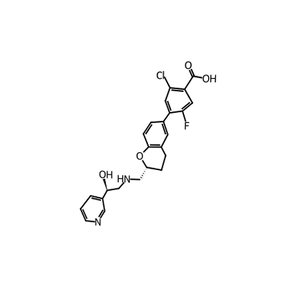 O=C(O)c1cc(F)c(-c2ccc3c(c2)CC[C@H](CNC[C@H](O)c2cccnc2)O3)cc1Cl